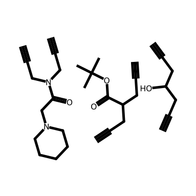 C#CCC(CC#C)C(=O)OC(C)(C)C.C#CCC(O)CC#C.C#CCN(CC#C)C(=O)CN1CCCCC1